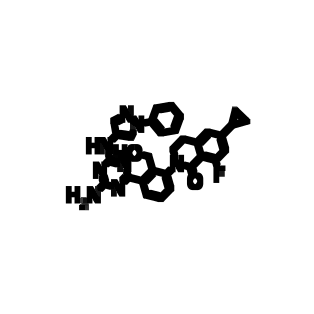 Nc1nc(Nc2cnn(-c3ccccc3)c2)nc(-c2cccc(N3CCc4cc(C5CC5)cc(F)c4C3=O)c2CO)n1